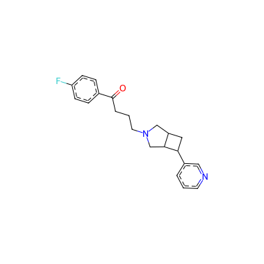 O=C(CCCN1CC2CC(c3cccnc3)C2C1)c1ccc(F)cc1